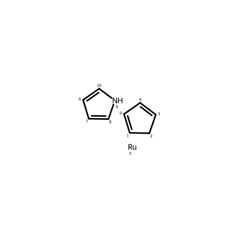 C1=CCC=C1.[Ru].c1cc[nH]c1